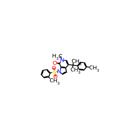 Cc1ccc(C(C)(C)c2cn(C)c(=O)c3c2ccn3S(=O)(=O)c2ccccc2C)cc1